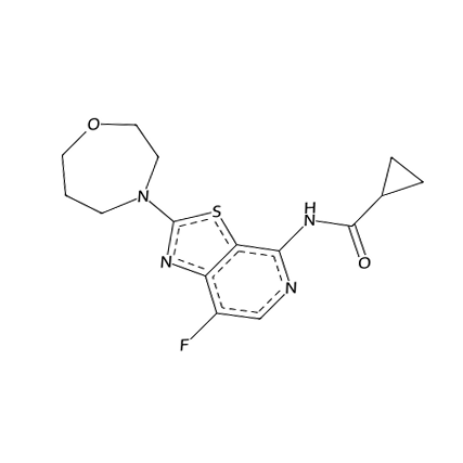 O=C(Nc1ncc(F)c2nc(N3CCCOCC3)sc12)C1CC1